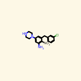 Nc1cc(N2CCNCC2)cc(Cc2cccc(Cl)c2)c1[N+](=O)[O-]